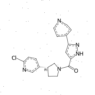 O=C(c1cc(-c2ccncc2)n[nH]1)N1CC[C@H](c2ccc(Cl)nc2)C1